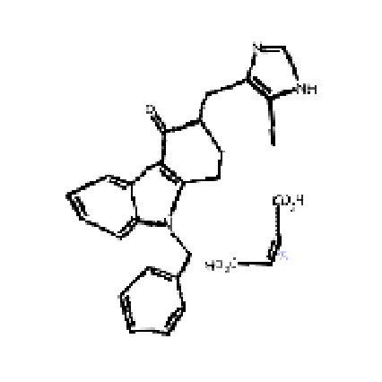 Cc1[nH]cnc1CC1CCc2c(c3ccccc3n2Cc2ccccc2)C1=O.O=C(O)/C=C\C(=O)O